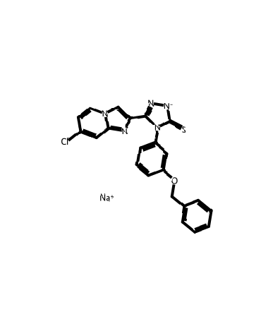 S=c1[n-]nc(-c2cn3ccc(Cl)cc3n2)n1-c1cccc(OCc2ccccc2)c1.[Na+]